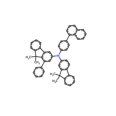 CC1(C)c2ccccc2-c2ccc(N(c3ccc(-c4cccc5ccccc45)cc3)c3cc(-c4ccccc4)c4c(c3)-c3ccccc3C4(C)C)cc21